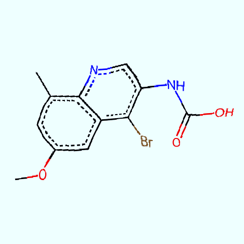 COc1cc(C)c2ncc(NC(=O)O)c(Br)c2c1